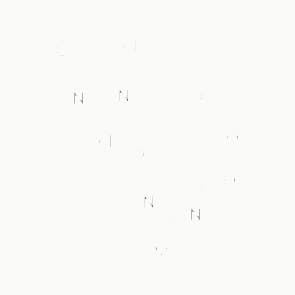 COC(=O)c1c(Cn2c(Cl)nc(Cl)c2Cl)sc2c1c(=O)n(C)c(=O)n2CC(C)C